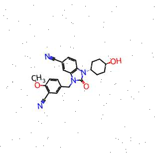 COc1ccc(Cn2c(=O)n([C@H]3CC[C@H](O)CC3)c3ccc(C#N)cc32)cc1C#N